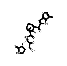 Cc1csc2cc(C(=O)N3C4CCC(CC4)[C@H]3C(=O)N[C@@H](C[C@@H]3CCNC3=O)C(=O)CO)[nH]c12